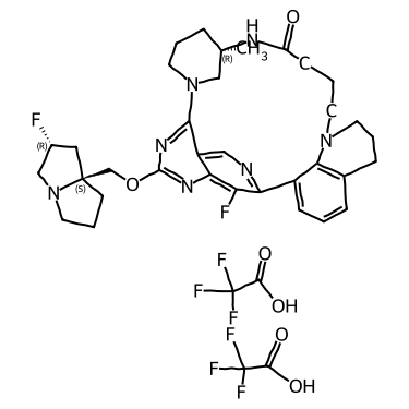 C[C@@]12CCCN(C1)c1nc(OC[C@@]34CCCN3C[C@H](F)C4)nc3c(F)c(ncc13)-c1cccc3c1N(CCCC(=O)N2)CCC3.O=C(O)C(F)(F)F.O=C(O)C(F)(F)F